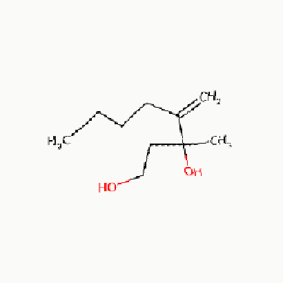 C=C(CCCC)C(C)(O)CCO